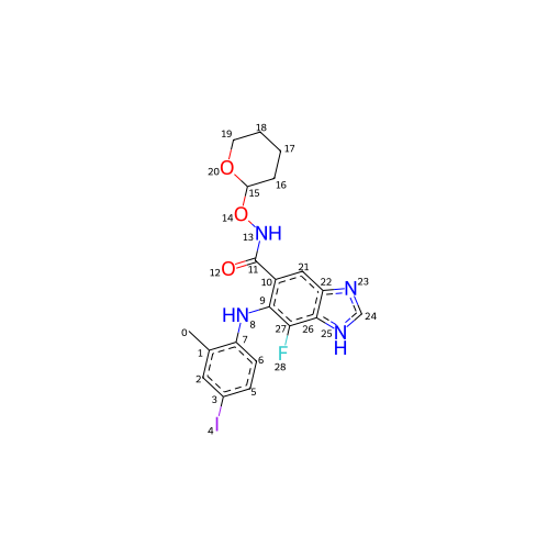 Cc1cc(I)ccc1Nc1c(C(=O)NOC2CCCCO2)cc2nc[nH]c2c1F